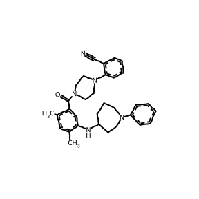 Cc1cc(C)c(C(=O)N2CCN(c3ccccc3C#N)CC2)cc1NC1CCCN(c2ccccc2)CC1